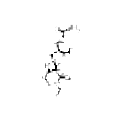 CCN1CCc2nn(CC(=CF)COC(N)=O)cc2C1=O